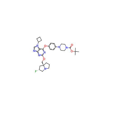 CC(C)(C)OC(=O)N1CCN(c2ccc(Oc3nc(OC[C@@]45CCCN4C[C@H](F)C5)nc4ncn(C5CCC5)c34)cc2)CC1